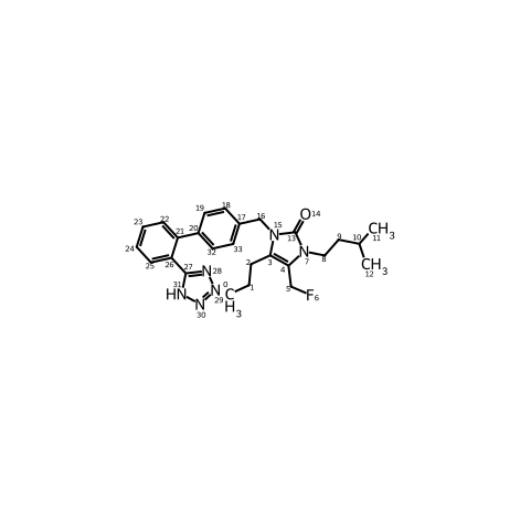 CCCc1c(CF)n(CCC(C)C)c(=O)n1Cc1ccc(-c2ccccc2-c2nnn[nH]2)cc1